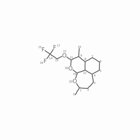 CC1CCC2CCCC3C(C)C(OCC(F)(F)F)OC(O1)C23